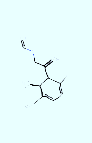 C=CNCC(=C)C1C(C)=CC=C(NC)C1C